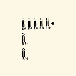 I.[O]=[BiH].[O]=[BiH].[O]=[BiH].[O]=[BiH].[O]=[BiH].[O]=[BiH].[O]=[BiH]